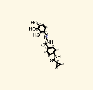 O=C(N/N=C/c1ccc(O)c(O)c1O)c1ccc(NC(=O)C2CC2)cc1